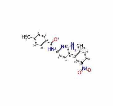 Cc1ccc(C(=O)Nc2ccc(-c3cc([N+](=O)[O-])ccc3C)c(N)n2)cc1